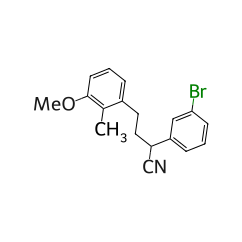 COc1cccc(CCC(C#N)c2cccc(Br)c2)c1C